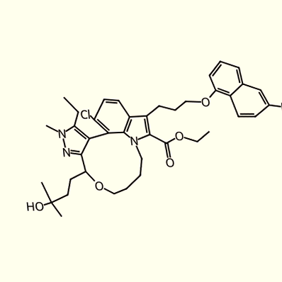 CCOC(=O)c1c(CCCOc2cccc3cc(F)ccc23)c2ccc(Cl)c3c2n1CCCCOC(CCC(C)(C)O)c1nn(C)c(CC)c1-3